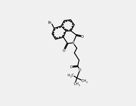 CC(C)(C)OC(=O)CCCN1C(=O)c2cccc3c(Br)ccc(c23)C1=O